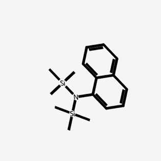 C[Si](C)(C)N(c1cccc2ccccc12)[Si](C)(C)C